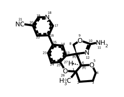 CC12CCCO[C@@H]1[C@]1(COC(N)=N1)c1cc(-c3cncc(C#N)c3)ccc1O2